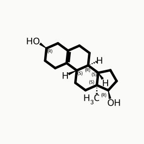 C[C@]12CC[C@@H]3C4=C(CC[C@H]3[C@@H]1CC[C@H]2O)C[C@H](O)CC4